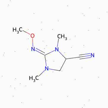 CON=C1N(C)CC(C#N)N1C